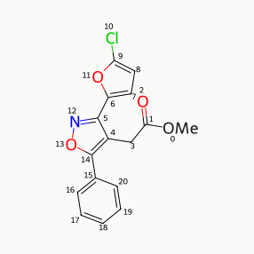 COC(=O)Cc1c(-c2ccc(Cl)o2)noc1-c1ccccc1